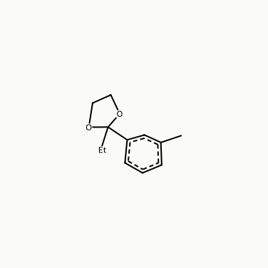 CCC1(c2cccc(C)c2)OCCO1